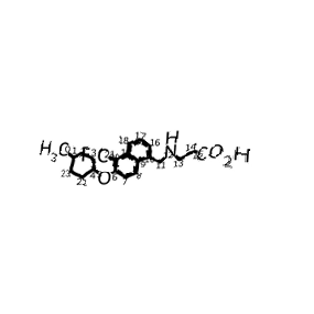 CC1CCC(Oc2ccc3c(CNCCC(=O)O)cccc3c2C(F)(F)F)CC1